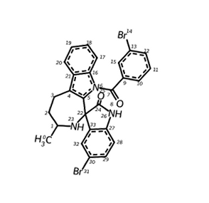 CC1CCc2c(n(C(=O)c3cccc(Br)c3)c3ccccc23)C2(N1)C(=O)Nc1ccc(Br)cc12